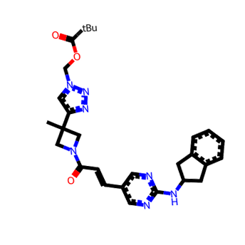 CC(C)(C)C(=O)OCn1cc(C2(C)CN(C(=O)C=Cc3cnc(NC4Cc5ccccc5C4)nc3)C2)nn1